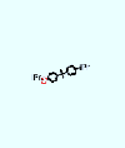 CC(C)Oc1ccc(C(C)(C)c2ccc(C(C)C)cc2)cc1